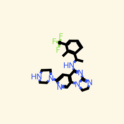 Cc1c(C(C)NC2=NC3=NCCN3c3cnc(N4CCNCC4)cc32)cccc1C(F)(F)F